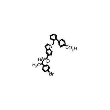 CC(NC(=O)c1ccc2c(ccn2Cc2ccccc2-c2ccc(C(=O)O)cc2)c1)c1ccc(Br)cc1